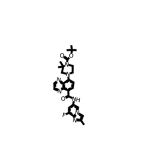 Cc1cn2cc(NC(=O)c3ccc(N4CCN(C(=O)OC(C)(C)C)C(C)(C)C4)c4nccnc34)cc(F)c2n1